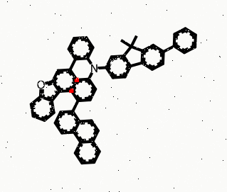 CC1(C)c2cc(-c3ccccc3)ccc2-c2ccc(N(c3ccc(-c4cccc5c4ccc4ccccc45)cc3)c3ccccc3-c3ccc4c(c3)oc3ccccc34)cc21